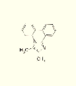 Cc1nc2c3ccccc3c3ccccc3n2c1C